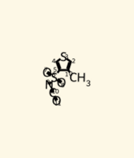 Cc1cscc1S(=O)(=O)N=C=O